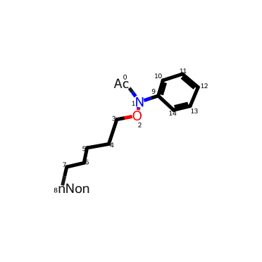 [CH2]C(=O)N(OCCCCCCCCCCCCCC)c1ccccc1